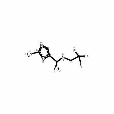 CC(NCC(F)(F)F)c1cnc(N)o1